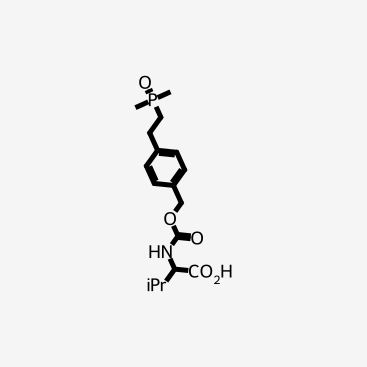 CC(C)C(NC(=O)OCc1ccc(CCP(C)(C)=O)cc1)C(=O)O